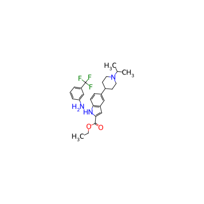 CCOC(=O)c1cc2cc(C3CCN(C(C)C)CC3)ccc2[nH]1.Nc1cccc(C(F)(F)F)c1